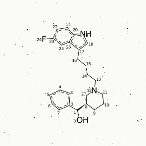 OC(c1ccccc1)[C@@H]1CCCN(CCCCc2c[nH]c3ccc(F)cc23)C1